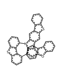 c1ccc2c(c1)oc1cc(-c3cccc4sc5cccc(-n6c7ccccc7c7cc8sc9ccccc9c8cc76)c5c34)ccc12